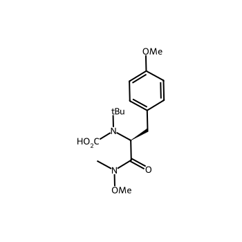 COc1ccc(C[C@@H](C(=O)N(C)OC)N(C(=O)O)C(C)(C)C)cc1